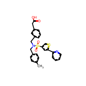 Cc1ccc(CN(Cc2cccc(CC(=O)O)c2)S(=O)(=O)c2csc(-c3ccccn3)c2)cc1